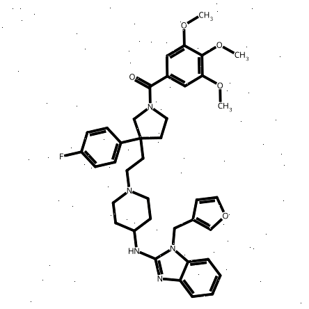 COc1cc(C(=O)N2CCC(CCN3CCC(Nc4nc5ccccc5n4Cc4ccoc4)CC3)(c3ccc(F)cc3)C2)cc(OC)c1OC